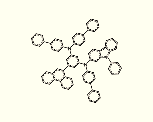 c1ccc(-c2ccc(N(c3ccc(-c4ccccc4)cc3)c3cc(-c4cc5ccccc5c5ccccc45)cc(N(c4ccc(-c5ccccc5)cc4)c4ccc5c6ccccc6n(-c6ccccc6)c5c4)c3)cc2)cc1